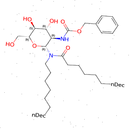 CCCCCCCCCCCCCCCCN(C(=O)CCCCCCCCCCCCCCC)[C@@H]1O[C@H](CO)[C@@H](O)[C@H](O)[C@H]1NC(=O)OCc1ccccc1